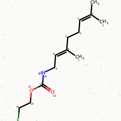 CC(C)=CCC/C(C)=C/CNC(=O)OCCF